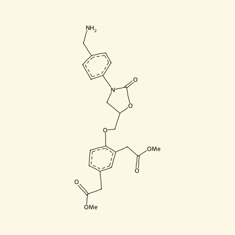 COC(=O)Cc1ccc(OCC2CN(c3ccc(CN)cc3)C(=O)O2)c(CC(=O)OC)c1